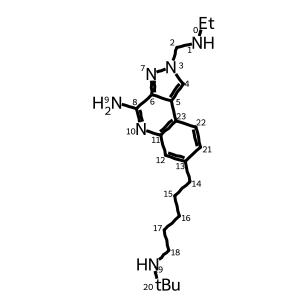 CCNCn1cc2c(n1)c(N)nc1cc(CCCCCNC(C)(C)C)ccc12